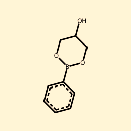 OC1COB(c2ccccc2)OC1